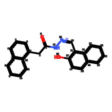 O=C(Cc1cccc2ccccc12)N/N=C\c1c(O)ccc2ccccc12